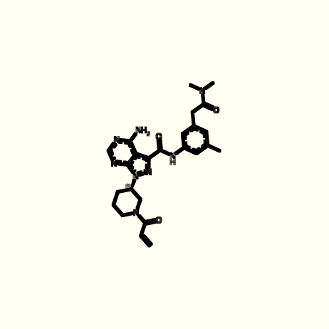 C=CC(=O)N1CCC[C@@H](n2nc(C(=O)Nc3cc(C)cc(CC(=O)N(C)C)c3)c3c(N)ncnc32)C1